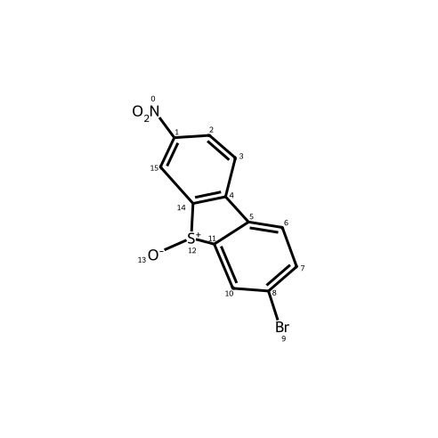 O=[N+]([O-])c1ccc2c3ccc(Br)cc3[s+]([O-])c2c1